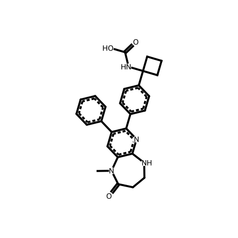 CN1C(=O)CCNc2nc(-c3ccc(C4(NC(=O)O)CCC4)cc3)c(-c3ccccc3)cc21